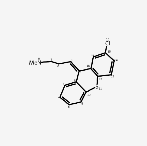 CNCC/C=C1\c2ccccc2Sc2ccc(Cl)cc21